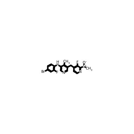 Cc1c(Cc2ccnc([S+](C)[O-])c2F)cncc1Nc1ccc(Br)cc1F